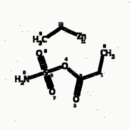 CCC(=O)OS(N)(=O)=O.C[CH2][Zn]